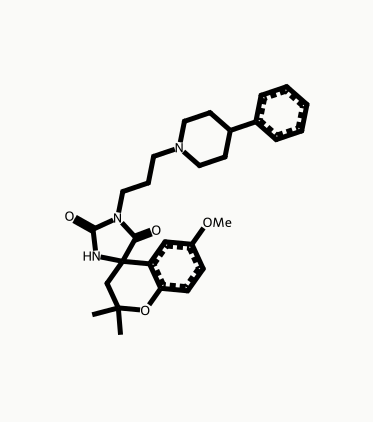 COc1ccc2c(c1)C1(CC(C)(C)O2)NC(=O)N(CCCN2CCC(c3ccccc3)CC2)C1=O